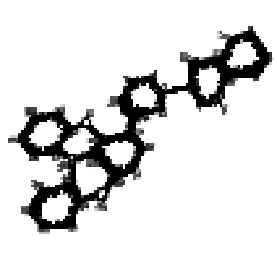 c1cc(-c2cnc3ccccc3c2)cc(-c2ccc3c4c2Oc2ccccc2B4c2ccccc2O3)c1